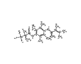 C=C(Oc1c(C)c(C)c(OC(=O)C(C)(C)C(F)(F)F)c(C)c1C)C(C)=C(C)C